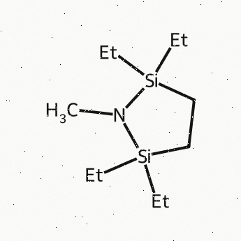 CC[Si]1(CC)CC[Si](CC)(CC)N1C